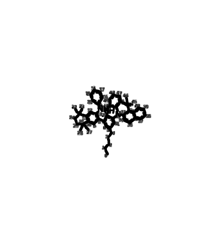 CCCCCc1cc(-c2cc3c(cc2Nc2ccccc2)C(C)(C)CCC3(C)C)c2c(c1)N1c3ccc4ccccc4c3C(C)(C)c3cccc(c31)B2